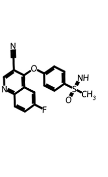 CS(=N)(=O)c1ccc(Oc2c(C#N)cnc3ccc(F)cc23)cc1